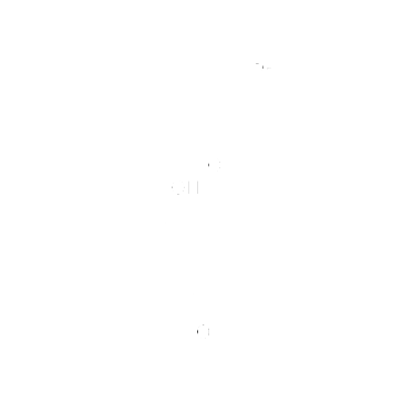 CC(C)CCOC(C)C1CC(=O)CC[C@@]1(C)O